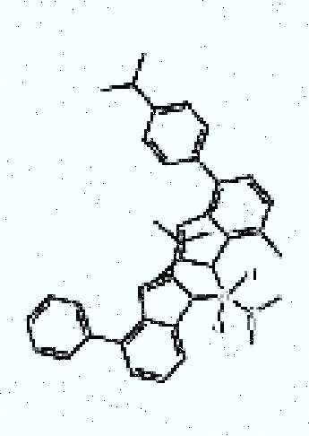 CC1=Cc2c(-c3ccc(C(C)C)cc3)ccc(C)c2[CH]1[Zr]([Cl])([Cl])([CH]1C(C(C)C)=Cc2c(-c3ccccc3)cccc21)[SiH](C)C